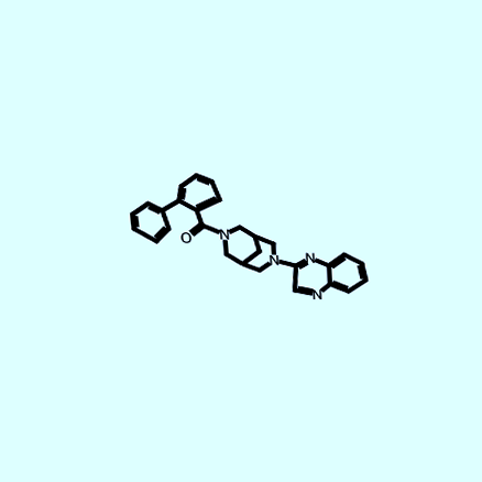 O=C(c1ccccc1-c1ccccc1)N1CC2CC(C1)CN(c1cnc3ccccc3n1)C2